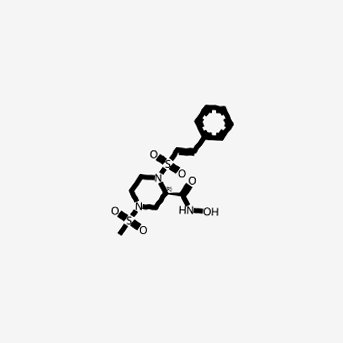 CS(=O)(=O)N1CCN(S(=O)(=O)C=Cc2ccccc2)[C@@H](C(=O)NO)C1